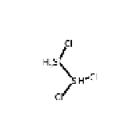 Cl[SiH2][SiH](Cl)Cl